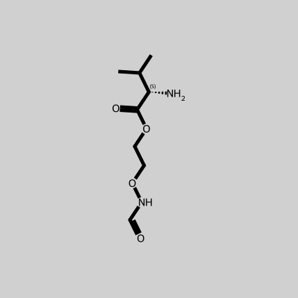 CC(C)[C@H](N)C(=O)OCCONC=O